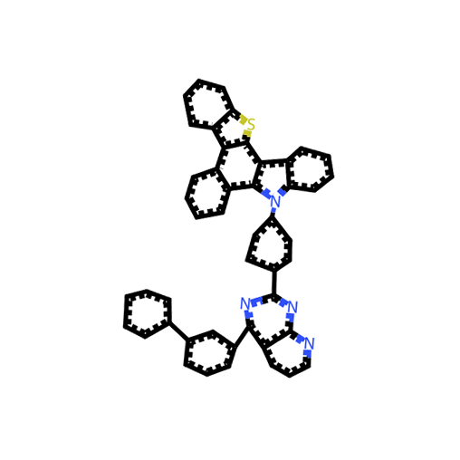 c1ccc(-c2cccc(-c3nc(-c4ccc(-n5c6ccccc6c6c7sc8ccccc8c7c7ccccc7c65)cc4)nc4ncccc34)c2)cc1